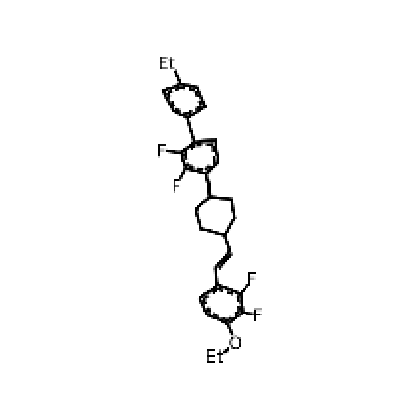 CCOc1ccc(/C=C/C2CCC(c3ccc(-c4ccc(CC)cc4)c(F)c3F)CC2)c(F)c1F